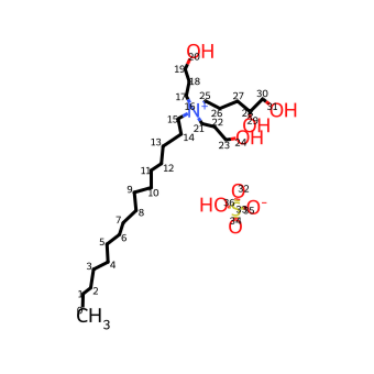 CCCCCCCCCCCCCCCC[N+](CCCO)(CCCO)CCCC(O)CO.O=S(=O)([O-])O